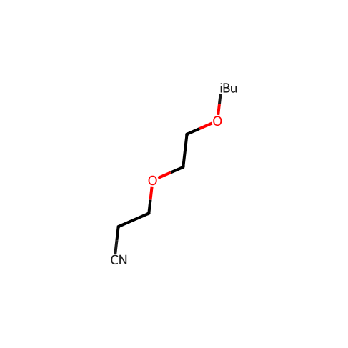 CCC(C)OCCOCCC#N